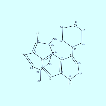 C/C1=C(c2ccc3c(c2)C(N2CCOCC2)=CCN3)\C=C/C(C)CCC1C